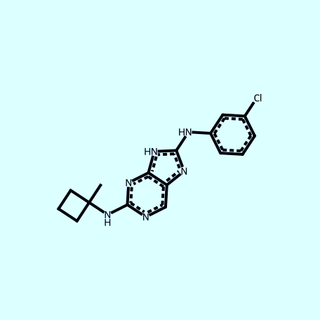 CC1(Nc2ncc3nc(Nc4cccc(Cl)c4)[nH]c3n2)CCC1